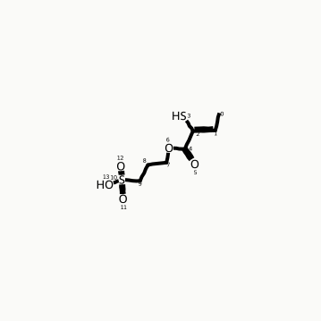 CC=C(S)C(=O)OCCCS(=O)(=O)O